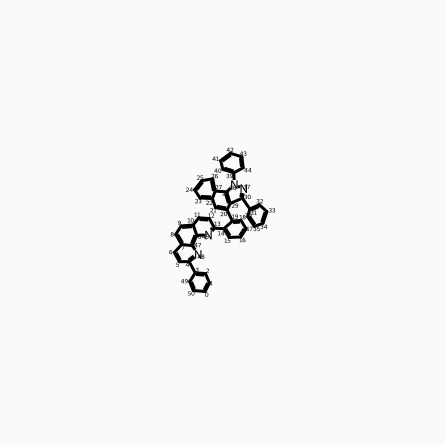 c1ccc(-c2ccc3ccc4ccc(-c5ccccc5-c5cc6ccccc6c6c5c(-c5ccccc5)nn6-c5ccccc5)nc4c3n2)cc1